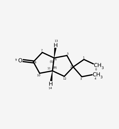 CCC1(CC)C[C@H]2CC(=O)C[C@H]2C1